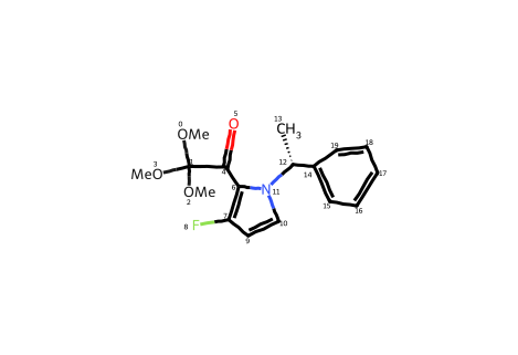 COC(OC)(OC)C(=O)c1c(F)ccn1[C@H](C)c1ccccc1